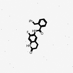 CC(C)Cc1ccccc1C(=O)Nc1cc2c(cc1F)NC(=O)CC2